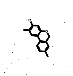 Cc1ccc2c(c1)COc1cc(O)c(C)cc1-2